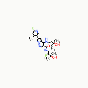 Cc1cc(F)ncc1-c1cc2c(NCCC(C)(C)O)c(C(=O)NC[C@@H](F)C(C)(C)O)cnn2c1